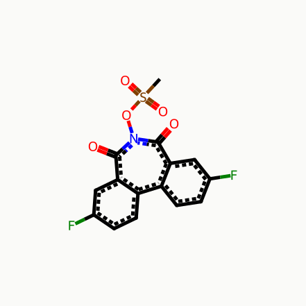 CS(=O)(=O)On1c(=O)c2cc(F)ccc2c2ccc(F)cc2c1=O